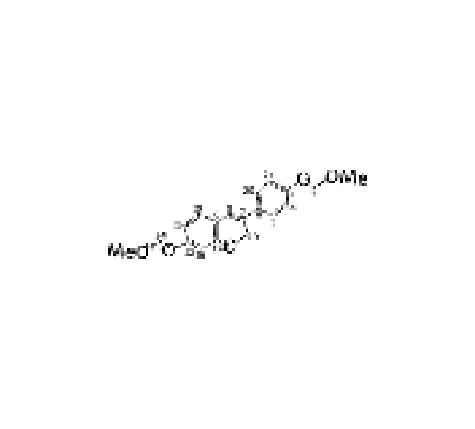 COCOc1ccc(C2=Cc3ccc(OCOC)cc3OC2)cc1